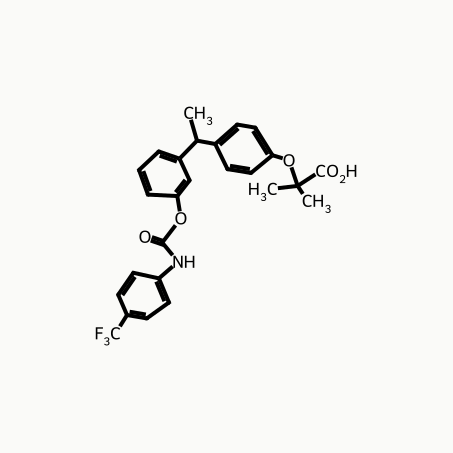 CC(c1ccc(OC(C)(C)C(=O)O)cc1)c1cccc(OC(=O)Nc2ccc(C(F)(F)F)cc2)c1